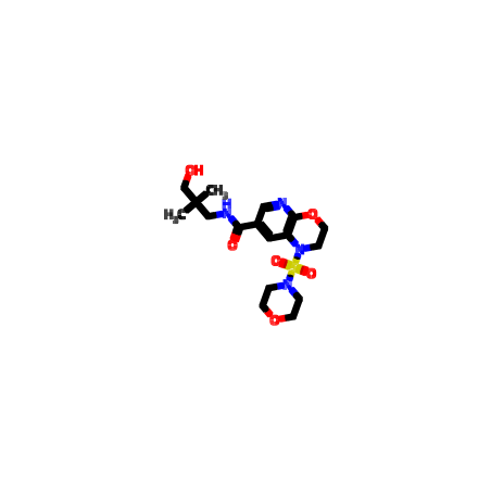 CC(C)(CO)CNC(=O)c1cnc2c(c1)N(S(=O)(=O)N1CCOCC1)CCO2